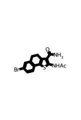 CC(=O)Nc1sc2c(c1C(N)=O)CCc1cc(Br)ccc1-2